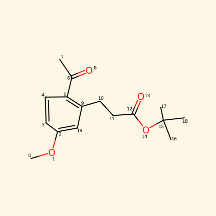 COc1ccc(C(C)=O)c(CCC(=O)OC(C)(C)C)c1